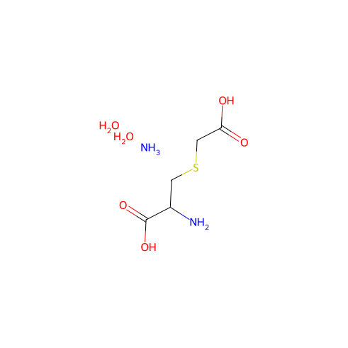 N.NC(CSCC(=O)O)C(=O)O.O.O